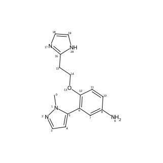 Cn1nccc1-c1cc(N)ccc1OCCc1ncc[nH]1